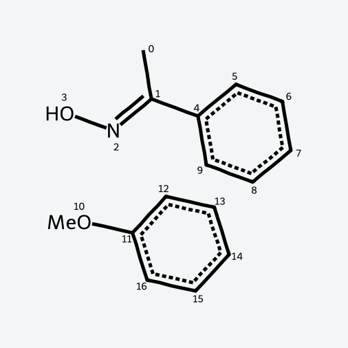 CC(=NO)c1ccccc1.COc1ccccc1